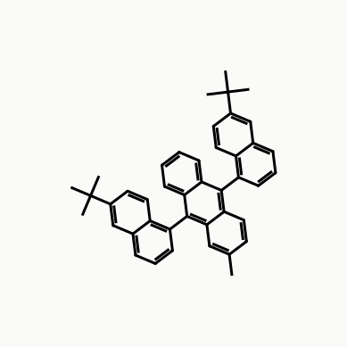 Cc1ccc2c(-c3cccc4cc(C(C)(C)C)ccc34)c3ccccc3c(-c3cccc4cc(C(C)(C)C)ccc34)c2c1